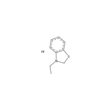 CCN1CSc2ccccc21.I